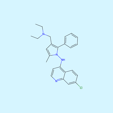 CCN(CC)Cc1cc(C)n(Nc2ccnc3cc(Cl)ccc23)c1-c1ccccc1